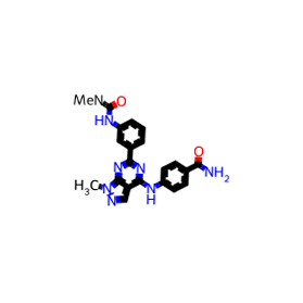 CNC(=O)Nc1cccc(-c2nc(Nc3ccc(C(N)=O)cc3)c3cnn(C)c3n2)c1